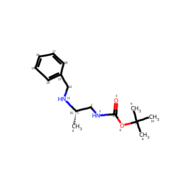 C[C@@H](CNC(=O)OC(C)(C)C)NCc1ccccc1